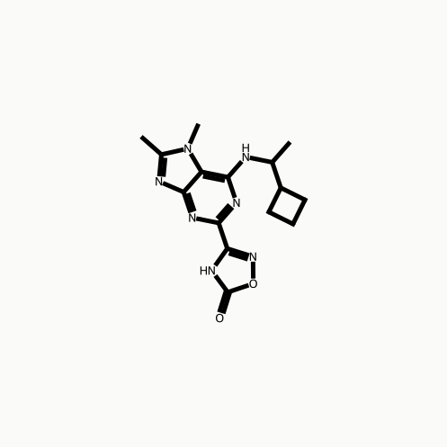 Cc1nc2nc(-c3noc(=O)[nH]3)nc(NC(C)C3CCC3)c2n1C